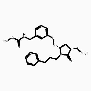 CC(C)(C)OC(=O)NCc1cccc(OC[C@@H]2C[C@@H](CC(=O)O)C(=O)N2CCCc2ccccc2)c1